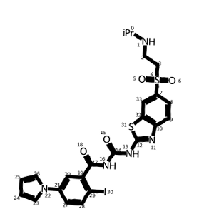 CC(C)NCCS(=O)(=O)c1ccc2nc(NC(=O)NC(=O)c3cc(-n4cccc4)ccc3I)sc2c1